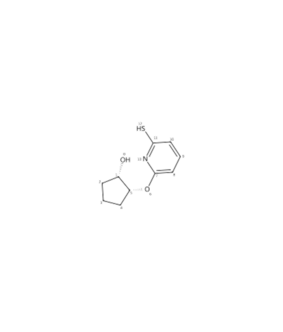 O[C@H]1CCC[C@H]1Oc1cccc(S)n1